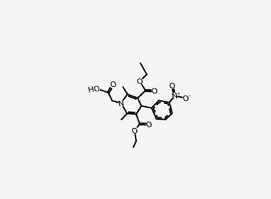 CCOC(=O)C1=C(C)N(CC(=O)O)C(C)=C(C(=O)OCC)C1c1cccc([N+](=O)[O-])c1